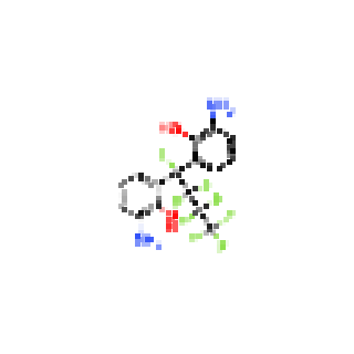 Nc1cccc(C(F)(c2cccc(N)c2O)C(F)(F)C(F)(F)C(F)(F)F)c1O